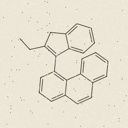 CCC1=C(c2cccc3ccc4ccccc4c23)c2ccccc2[CH]1